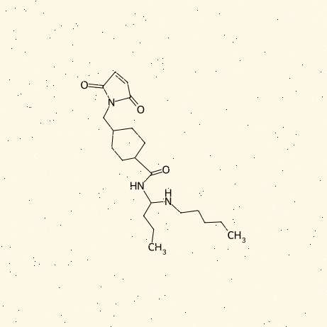 CCCCCNC(CCC)NC(=O)C1CCC(CN2C(=O)C=CC2=O)CC1